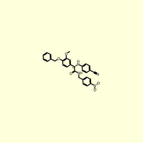 COc1cc([C@@H](Nc2ccc(C#N)cc2)C(=O)NCc2ccc([N+](=O)[O-])cc2)ccc1OCc1ccccc1